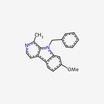 COc1ccc2c3ccnc(C)c3n(Cc3ccccc3)c2c1